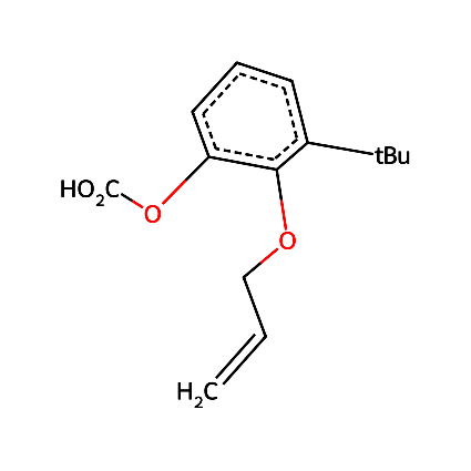 C=CCOc1c(OC(=O)O)cccc1C(C)(C)C